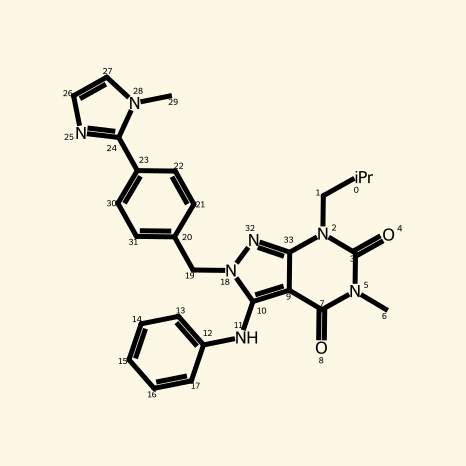 CC(C)Cn1c(=O)n(C)c(=O)c2c(Nc3ccccc3)n(Cc3ccc(-c4nccn4C)cc3)nc21